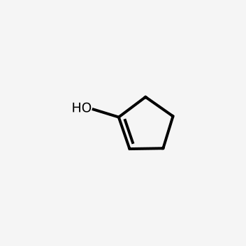 OC1=CCCC1